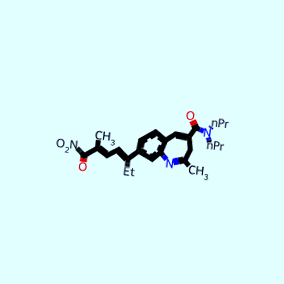 CCCN(CCC)C(=O)C1=Cc2ccc(/C(=C/C=C(\C)C(=O)[N+](=O)[O-])CC)cc2N=C(C)C1